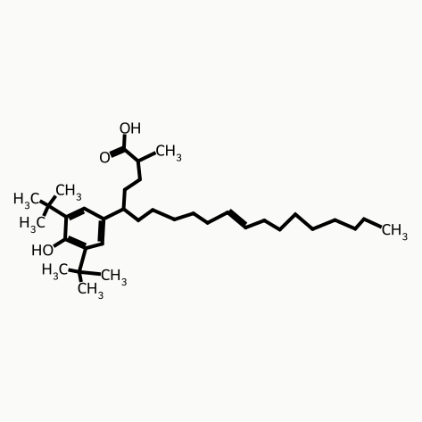 CCCCCCCCC=CCCCCCC(CCC(C)C(=O)O)c1cc(C(C)(C)C)c(O)c(C(C)(C)C)c1